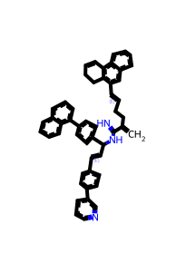 C=C(CC/C=C/c1cc2ccccc2c2c1CCC=C2)C(=N)NC(/C=C/c1ccc(-c2cccnc2)cc1)c1ccc(-c2cccc3ccccc23)cc1